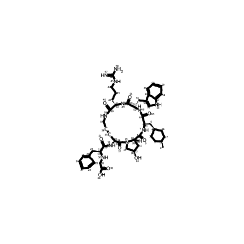 C[C@H]1CC[C@@H](C[C@H]2NC(=O)[C@@H]3C[C@@H](O)CN3C(=O)[C@@H](NC(=O)[C@H](Cc3ccccc3)NCC(=O)O)CCCNC(=O)[C@H](CCCNC(=N)N)NC(=O)[C@H](Cc3c[nH]c4ccccc34)NC2=O)CC1